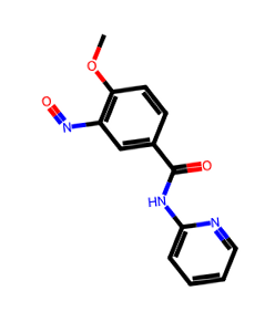 COc1ccc(C(=O)Nc2ccccn2)cc1N=O